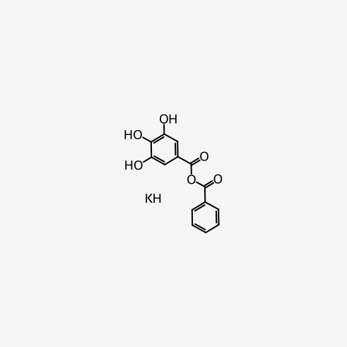 O=C(OC(=O)c1cc(O)c(O)c(O)c1)c1ccccc1.[KH]